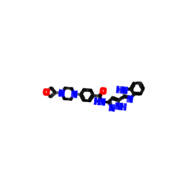 O=C(Nc1cc(-c2nc3ccccc3[nH]2)[nH]n1)c1ccc(N2CCN(C3COC3)CC2)cc1